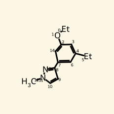 CCOc1cc(CC)cc(-c2ccn(C)n2)c1